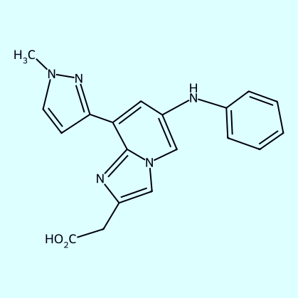 Cn1ccc(-c2cc(Nc3ccccc3)cn3cc(CC(=O)O)nc23)n1